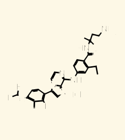 CCc1cc(Nc2nccn3c(-c4ccc(OC(F)F)c(F)c4F)cnc23)ccc1C(=O)NC(C)(C)CCN.Cl